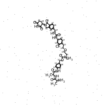 CC(N)C(=O)N[C@@H](C)C(=O)Nc1ccc(COC(=O)N(C)CCOCCc2ccc(NC(=O)NCc3ccc4c(c3)CN(C3CCC(=O)NC3=O)C4=O)cc2Cl)cc1